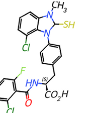 CN1c2cccc(Cl)c2N(c2ccc(C[C@H](NC(=O)c3c(F)cccc3Cl)C(=O)O)cc2)C1S